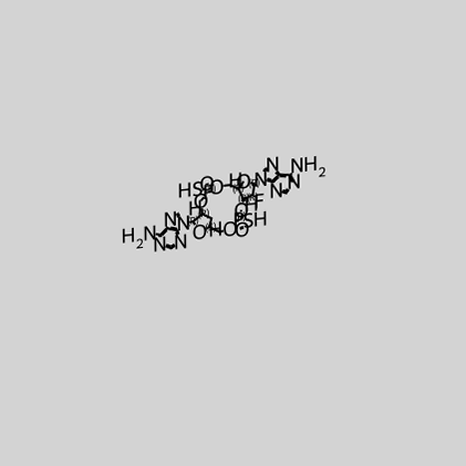 Nc1ncnc2c1ncn2[C@@H]1O[C@@H]2CO[P@](=O)(S)O[C@@H]3C[C@@H](CO[P@@](=O)(S)O[C@H]2[C@H]1F)O[C@H]3n1cnc2c(N)ncnc21